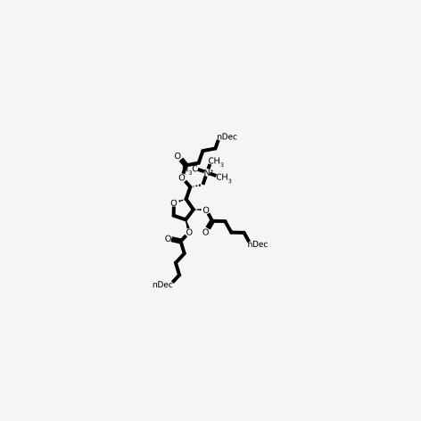 CCCCCCCCCCCCCC(=O)O[C@H]1[C@@H]([C@@H](C[N+](C)(C)C)OC(=O)CCCCCCCCCCCCC)OC[C@@H]1OC(=O)CCCCCCCCCCCCC